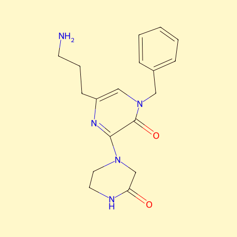 NCCCc1cn(Cc2ccccc2)c(=O)c(N2CCNC(=O)C2)n1